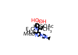 CO[C@@H](C)c1ncc(N2CCN(C3CC3)CC2)cc1-c1c(CC(C)(C)COC(C)=O)c2cc(B(O)O)ccc2n1CC(F)(F)F